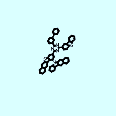 c1ccc(-c2cccc(-c3nc(-c4cc(-n5c6ccccc6c6cc7ccccc7cc65)c5c(c4)sc4cc6ccccc6cc45)nc(-c4ccc5sc6ccccc6c5c4)n3)c2)cc1